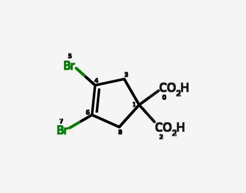 O=C(O)C1(C(=O)O)CC(Br)=C(Br)C1